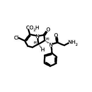 NCC(=O)N(c1ccccc1)[C@H]1C(=O)N2C(C(=O)O)=C(Cl)CC[C@H]12